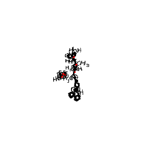 Cc1cc(NC(=O)CCCCN(C)C(=O)CCN2CCC(OC(=O)Nc3ccccc3-c3ccccc3)CC2)c(C)cc1CNC[C@H](O)c1ccc(O)c2[nH]c(=O)ccc12.O=C(O)C(F)(F)F.O=C(O)C(F)(F)F